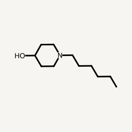 CCCCCCN1CCC(O)CC1